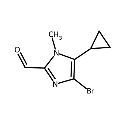 Cn1c(C=O)nc(Br)c1C1CC1